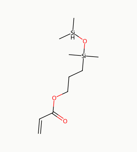 C=CC(=O)OCCC[Si](C)(C)O[SiH](C)C